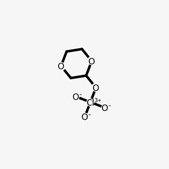 [O-][Cl+3]([O-])([O-])OC1COCCO1